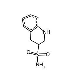 NS(=O)(=O)C1CNc2ccccc2C1